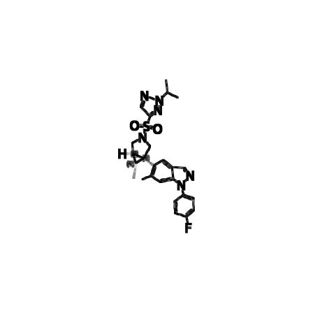 Cc1cc2c(cnn2-c2ccc(F)cc2)cc1[C@@]12CN(S(=O)(=O)c3cnn(C(C)C)n3)C[C@@H]1[C@H]2C